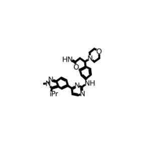 CC(C)c1c2cc(-c3ccnc(Nc4ccc5c(c4)OC(=N)CC5N4CCOCC4)n3)ccc2nn1C